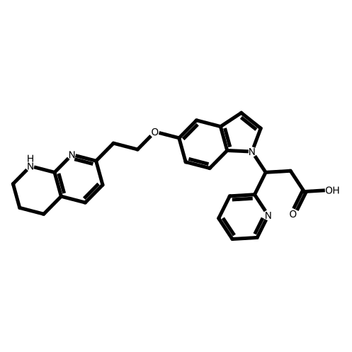 O=C(O)CC(c1ccccn1)n1ccc2cc(OCCc3ccc4c(n3)NCCC4)ccc21